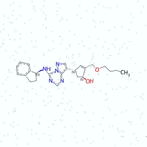 CCCCOCC1=C[C@@H](c2cnn3c(N[C@H]4CCc5ccccc54)ncnc23)C[C@@H]1O